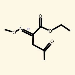 CCOC(=O)/C(CC(C)=O)=N/OC